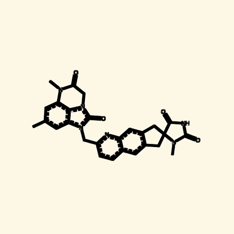 Cc1cc2c3c(c1)n(Cc1ccc4cc5c(cc4n1)CC1(C5)C(=O)NC(=O)N1C)c(=O)n3CC(=O)N2C